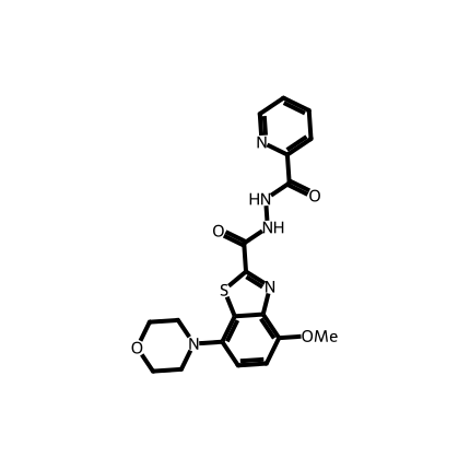 COc1ccc(N2CCOCC2)c2sc(C(=O)NNC(=O)c3ccccn3)nc12